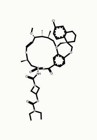 CCN(CC)C(=O)OC1CN(C(=O)N[S@@]2(=O)=NC(=O)c3ccc4c(c3)N(C[C@H](C)[C@@H](C)[C@@H](OC)/C=C/C[C@H](C)C2)C[C@@]2(CCCc3cc(Cl)ccc32)CO4)C1